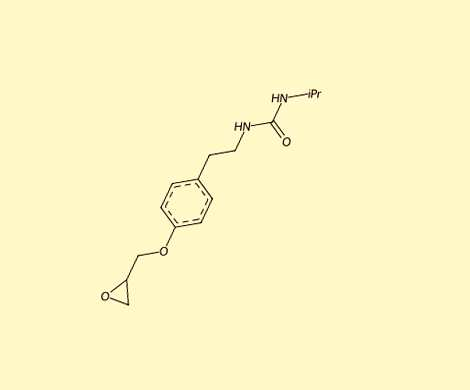 CC(C)NC(=O)NCCc1ccc(OCC2CO2)cc1